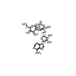 Nc1ncnc2c1ncn2[C@@H]1O[C@H](COP(=O)(O)OP(=O)(O)O[C@@H]2OC(CO)[C@@H](O)C(O)C2O)[C@H](O)[C@@H]1O